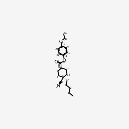 CCCCC[C@]1(C#N)CC[C@H](C(=O)Oc2ccc(OCC)cc2)CC1